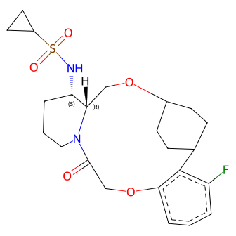 O=C1COc2cccc(F)c2C2CCC(CC2)OC[C@H]2[C@@H](NS(=O)(=O)C3CC3)CCCN12